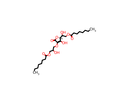 CCCCCCCC(=O)OCC(O)COC1=C(O)[C@@H]([C@@H](O)COC(=O)CCCCCCC)OC1=O